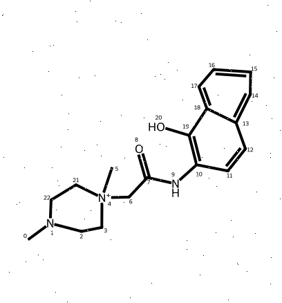 CN1CC[N+](C)(CC(=O)Nc2ccc3ccccc3c2O)CC1